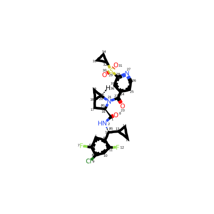 O=C(N[C@@H](c1cc(F)c(Cl)cc1F)C1CC1)[C@H]1CC2C[C@H]2N1C(=O)c1ccnc(S(=O)(=O)C2CC2)c1